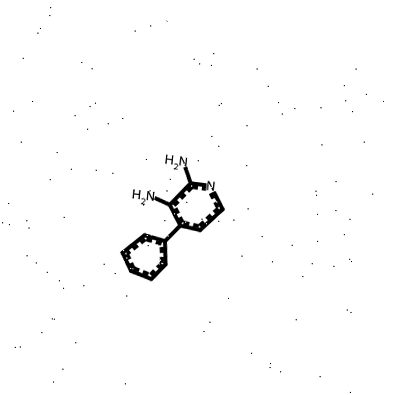 Nc1nccc(-c2ccccc2)c1N